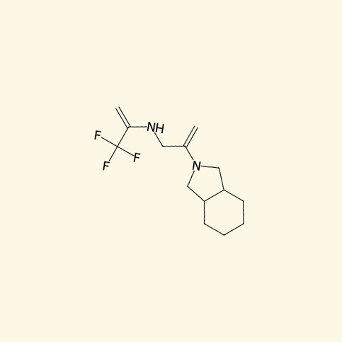 C=C(CNC(=C)C(F)(F)F)N1CC2CCCCC2C1